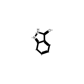 O=C1NN=C2CC=CC=C12